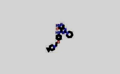 O=c1[nH]ncc2nc(N3CCCCCC3)nc(Nc3ccc(OCCN4CCC5(CC4)CC5)cc3)c12